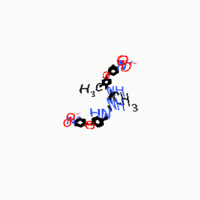 Cc1cc(Oc2ccc([N+](=O)[O-])cc2)ccc1CNC(C)CNCCNCc1ccc(Oc2ccc([N+](=O)[O-])cc2)cc1